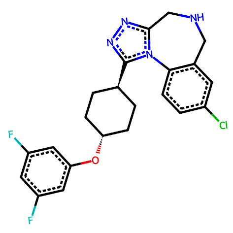 Fc1cc(F)cc(O[C@H]2CC[C@H](c3nnc4n3-c3ccc(Cl)cc3CNC4)CC2)c1